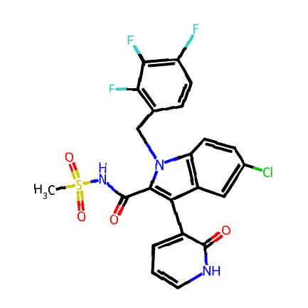 CS(=O)(=O)NC(=O)c1c(-c2ccc[nH]c2=O)c2cc(Cl)ccc2n1Cc1ccc(F)c(F)c1F